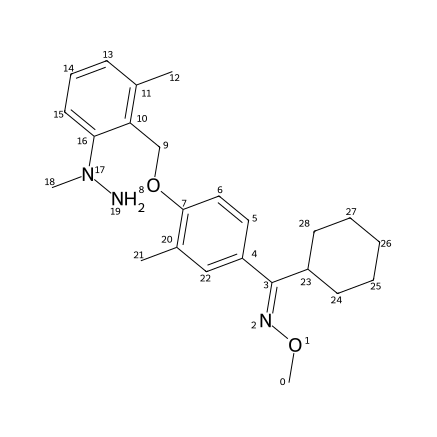 CO/N=C(/c1ccc(OCc2c(C)cccc2N(C)N)c(C)c1)C1CCCCC1